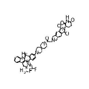 C[C@@H]1Cc2c([nH]c3ccccc23)[C@@H](c2ccc(N3CCC4(CCN(C(=O)CN5Cc6cc7c(cc6C5)C(=O)N(C5CCC(=O)NC5=O)C7=O)CC4)CC3)cc2F)N1CC(F)F